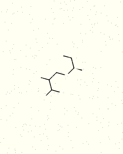 CC(O)C(CN[C@@H](CO)C(=O)O)C(=O)O